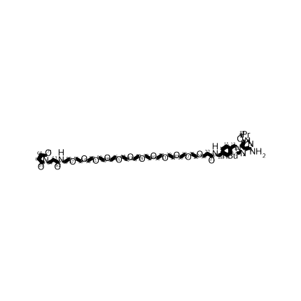 CCCCc1nc2c(N)nnc(OC(C)C)c2n1Cc1ccc(CNC(=O)CCOCCOCCOCCOCCOCCOCCOCCOCCOCCOCCOCCOCCNC(=O)CCN2C(=O)C=CC2=O)cc1